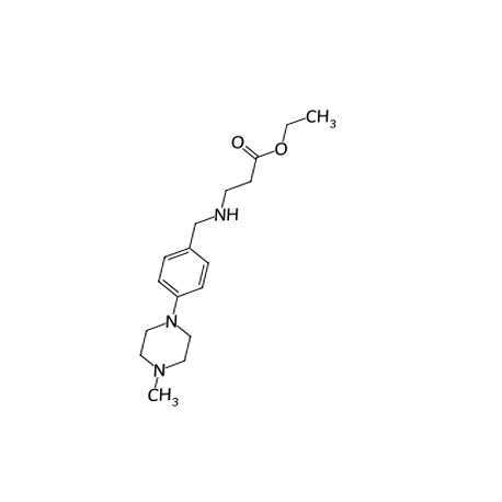 CCOC(=O)CCNCc1ccc(N2CCN(C)CC2)cc1